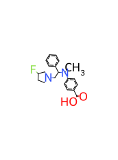 CN(c1ccc(C(=O)O)cc1)C(CN1CCC(F)C1)c1ccccc1